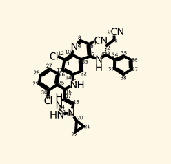 N#CCC[C@@H](Nc1c(C#N)cnc2c(Cl)cc(NC(C3=CN(C4CC4)NN3)c3ccccc3Cl)cc12)c1ccccc1